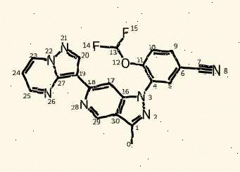 Cc1nn(-c2cc(C#N)ccc2OC(F)F)c2cc(-c3cnn4cccnc34)ncc12